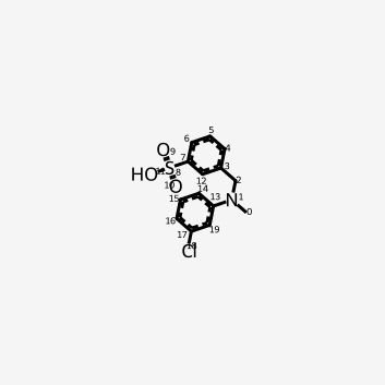 CN(Cc1cccc(S(=O)(=O)O)c1)c1cccc(Cl)c1